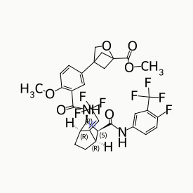 COC(=O)C12CC(c3ccc(OC)c(C(=O)N[C@H]4[C@@H](C(=O)Nc5ccc(F)c(C(F)(F)F)c5)[C@H]5CC[C@@H]4/C5=C\C(F)(F)F)c3)(CO1)C2